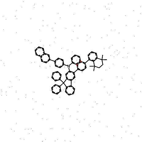 CC1(C)CCC(C)(C)c2c(-c3ccc(-c4cc5c(cc4N(c4ccccc4)c4ccc(-c6ccc7ccccc7c6)cc4)C(c4ccccc4)(c4ccccc4)c4ccccc4-5)cc3)cccc21